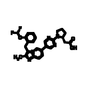 Cc1nc2ccc(-c3cnc(N4CCC[C@H]4CC(=O)O)nc3)cn2c1Cc1ccccc1OC(F)F